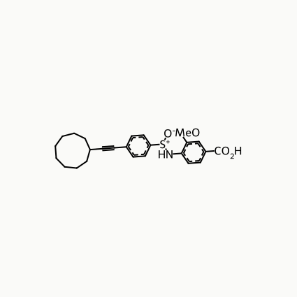 COc1cc(C(=O)O)ccc1N[S+]([O-])c1ccc(C#CC2CCCCCCCC2)cc1